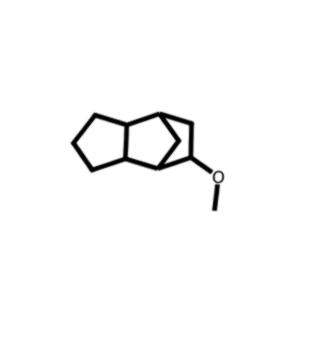 COC1CC2CC1C1CCCC21